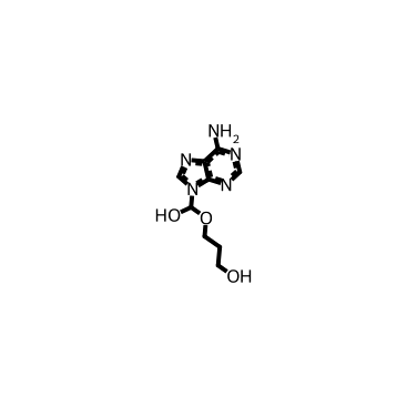 Nc1ncnc2c1ncn2C(O)OCCCO